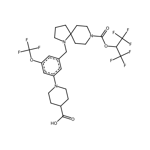 O=C(O)C1CCN(c2cc(CN3CCCC34CCN(C(=O)OC(C(F)(F)F)C(F)(F)F)CC4)cc(OC(F)(F)F)c2)CC1